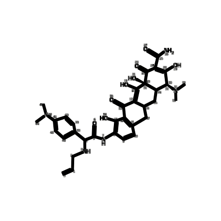 C=CCNC(C(=O)Nc1ccc2c(c1O)C(=O)C1=C(O)[C@]3(O)C(=O)C(C(N)=O)=C(O)[C@@H](N(C)C)C3CC1C2)c1ccc(N(C)C)cc1